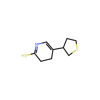 SC1=NC=C(C2CCSC2)CC1